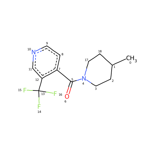 CC1CCN(C(=O)c2ccncc2C(F)(F)F)CC1